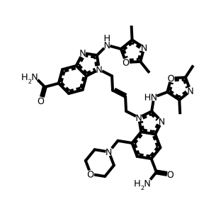 Cc1nc(C)c(Nc2nc3cc(C(N)=O)ccc3n2C/C=C/Cn2c(Nc3oc(C)nc3C)nc3cc(C(N)=O)cc(CN4CCOCC4)c32)o1